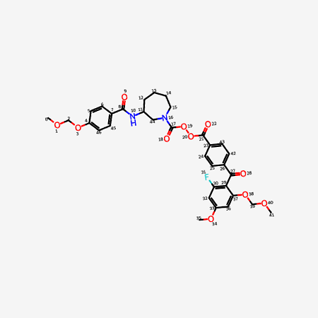 COCOc1ccc(C(=O)NC2CCCCN(C(=O)OOC(=O)c3ccc(C(=O)c4c(F)cc(OC)cc4OCOC)cc3)C2)cc1